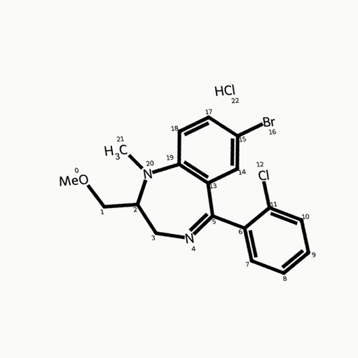 COCC1CN=C(c2ccccc2Cl)c2cc(Br)ccc2N1C.Cl